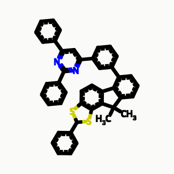 CC1(C)c2cccc(-c3cccc(-c4cc(-c5ccccc5)nc(-c5ccccc5)n4)c3)c2-c2ccc3c(c21)SC(c1ccccc1)S3